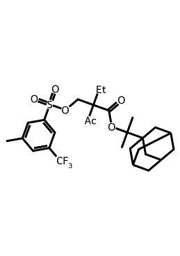 CCC(COS(=O)(=O)c1cc(C)cc(C(F)(F)F)c1)(C(C)=O)C(=O)OC(C)(C)C12CC3CC(CC(C3)C1)C2